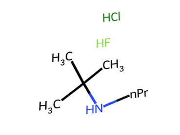 CCCNC(C)(C)C.Cl.F